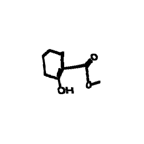 COC(=O)C1=C(O)CCCC1